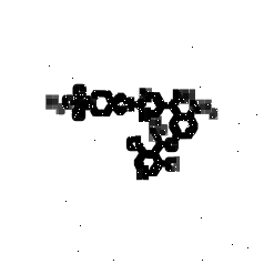 CS(=O)(=O)N1CCC2(CC1)CN(c1ncc(C(=N)c3cc(O[C@H](N)c4c(Cl)cncc4Cl)ccc3N)cn1)C2